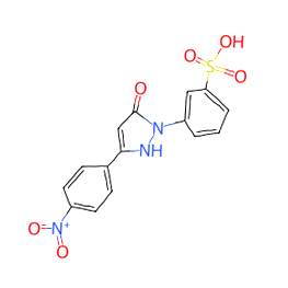 O=c1cc(-c2ccc([N+](=O)[O-])cc2)[nH]n1-c1cccc(S(=O)(=O)O)c1